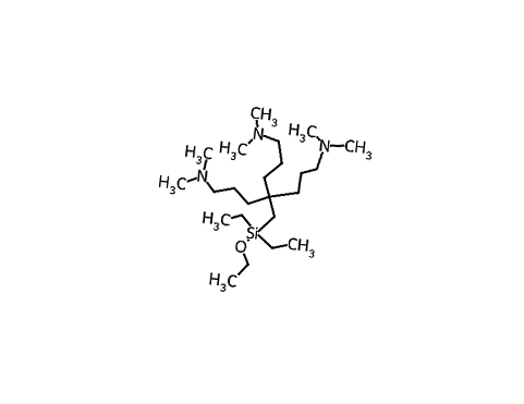 CCO[Si](CC)(CC)CC(CCCN(C)C)(CCCN(C)C)CCCN(C)C